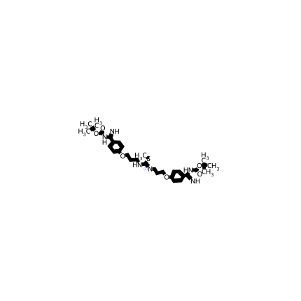 CS/C(=N\CCCOc1ccc(C(=N)NC(=O)OC(C)(C)C)cc1)NCCCOc1ccc(C(=N)NC(=O)OC(C)(C)C)cc1